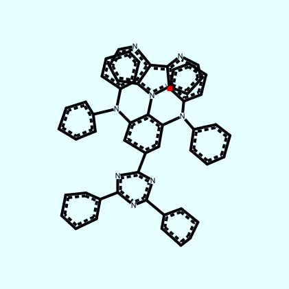 c1ccc(-c2nc(-c3ccccc3)nc(-c3cc(N(c4ccccc4)c4ccccc4)c(-n4c5cccnc5c5ncccc54)c(N(c4ccccc4)c4ccccc4)c3)n2)cc1